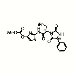 COC(=O)Oc1csc(NC(=O)[C@H](CC(C)C)N2C(=O)N[C@@H](c3ccccc3)C2=O)n1